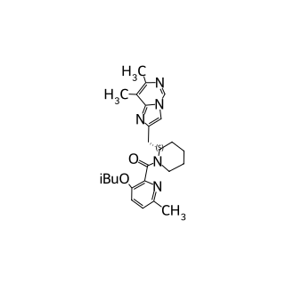 Cc1ccc(OCC(C)C)c(C(=O)N2CCCC[C@H]2Cc2cn3cnc(C)c(C)c3n2)n1